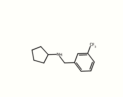 FC(F)(F)c1cccc(CNC2CCCC2)c1